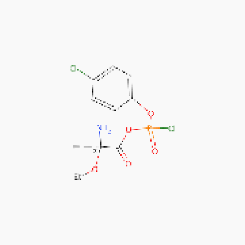 CCO[C@@](C)(N)C(=O)OP(=O)(Cl)Oc1ccc(Cl)cc1